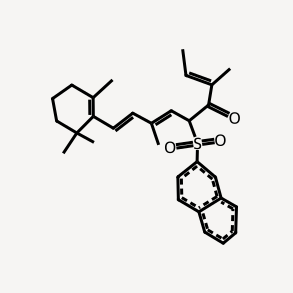 CC=C(C)C(=O)C(C=C(C)C=CC1=C(C)CCCC1(C)C)S(=O)(=O)c1ccc2ccccc2c1